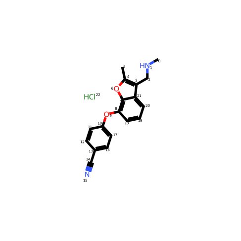 CNCc1c(C)oc2c(Oc3ccc(C#N)cc3)cccc12.Cl